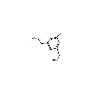 CCCCCCCCCCCc1cc(CC)cc(CCCCCCCCCCC)c1